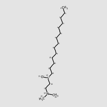 CCCCCCCCCCCCCC[S+]([O-])CCN(C)C